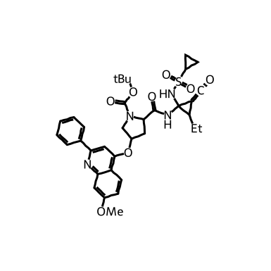 CCC1C(=C=O)C1(NC(=O)C1CC(Oc2cc(-c3ccccc3)nc3cc(OC)ccc23)CN1C(=O)OC(C)(C)C)NS(=O)(=O)C1CC1